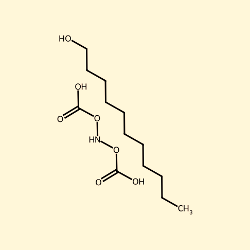 CCCCCCCCCCCO.O=C(O)ONOC(=O)O